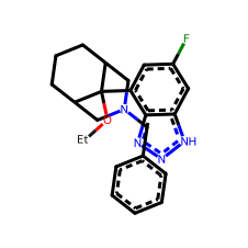 CCOC1(c2cc(F)cc3[nH]nnc23)C2CCCC1CN(Cc1ccccc1)C2